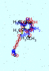 CC[C@H](C)CC(=O)NCC(=O)N[C@H]1C[S+]([O-])c2[nH]c3c(CSCCNC(=O)CCOCCOCCOCCOCCn4cc(CN5C(=O)C=CC5=O)nn4)c(OC)ccc3c2C[C@@H](C(=O)NCC(=O)NC)NC(=O)[C@H]([C@@H](C)[C@@H](O)CO)NC(=O)[C@@H]2C[C@@H](O)CN2C(=O)[C@H](CC(N)=O)NC1=O